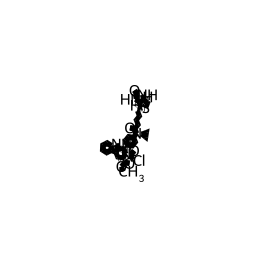 COC(=O)[C@H]1Cc2c([nH]c3ccccc23)[C@@H](c2ccc(N(C(=O)CCCC[C@@H]3SC[C@@H]4NC(=O)N[C@@H]43)C3CC3)cc2)N1C(=O)CCl